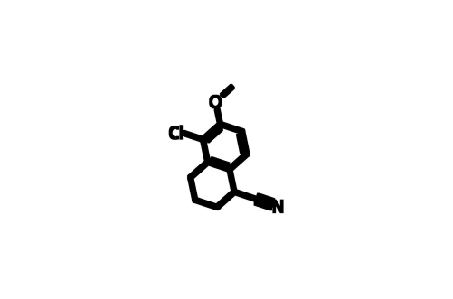 COc1ccc2c(c1Cl)CCCC2C#N